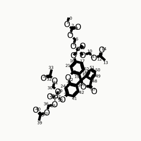 COC(=O)OCOP(=O)(OCOC(C)=O)Oc1ccc2c(c1)Oc1cc(OP(=O)(OCOC(C)=O)OCOC(C)=O)ccc1C21OC(=O)c2ccccc21